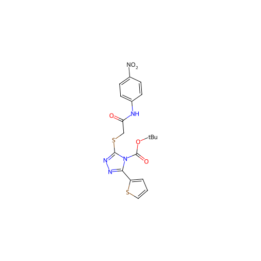 CC(C)(C)OC(=O)n1c(SCC(=O)Nc2ccc([N+](=O)[O-])cc2)nnc1-c1cccs1